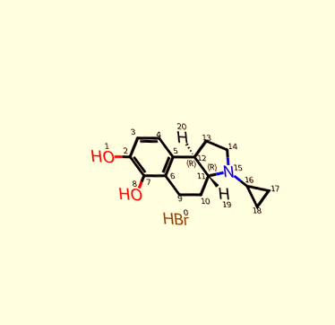 Br.Oc1ccc2c(c1O)CC[C@@H]1[C@@H]2CCN1C1CC1